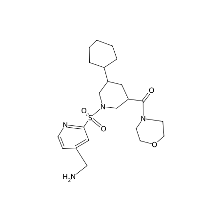 NCc1ccnc(S(=O)(=O)N2CC(C(=O)N3CCOCC3)CC(C3CCCCC3)C2)c1